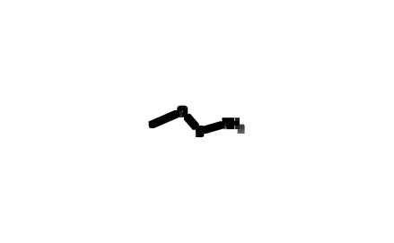 COSN